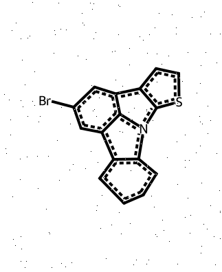 Brc1cc2c3ccccc3n3c4sccc4c(c1)c23